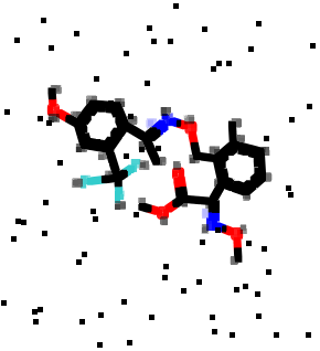 CO/N=C(/C(=O)OC)c1cccc(C)c1CO/N=C(\C)c1ccc(OC)cc1C(F)(F)F